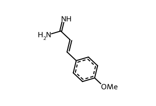 COc1ccc(C=CC(=N)N)cc1